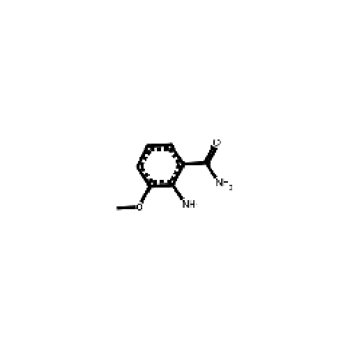 COc1cccc(C(N)=O)c1[NH]